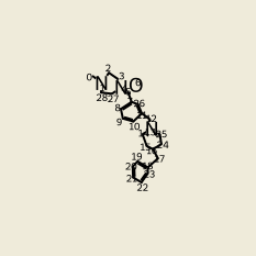 CN1CCN(C(=O)c2cccc(CN3CCC(Cc4ccccc4)CC3)c2)CC1